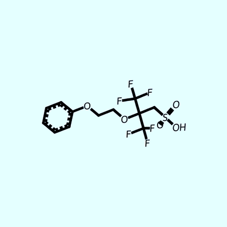 O=S(=O)(O)CC(OCCOc1ccccc1)(C(F)(F)F)C(F)(F)F